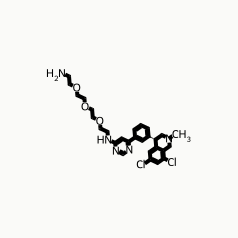 CN1Cc2c(Cl)cc(Cl)cc2[C@H](c2cccc(-c3cc(NCCOCCOCCOCCN)ncn3)c2)C1